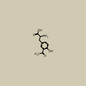 CC(=O)c1cc(CC(N)C(=O)O)ccc1O